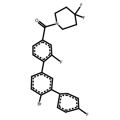 O=C(c1ccc(-c2ccc(Br)c(-c3ccc(F)cc3)c2)c(F)c1)N1CCC(F)(F)CC1